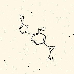 Cl.N#Cc1ccc(-c2ccc(C3CC3N)cn2)s1